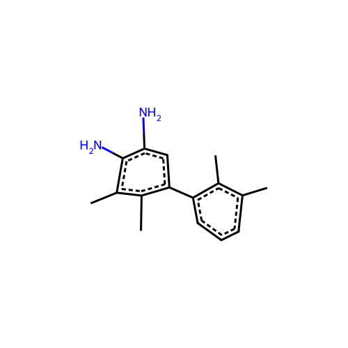 Cc1cccc(-c2cc(N)c(N)c(C)c2C)c1C